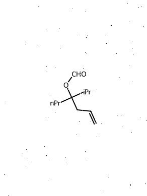 C=CCC(CCC)(OC=O)C(C)C